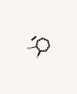 C=C.O=c1cccccc1O